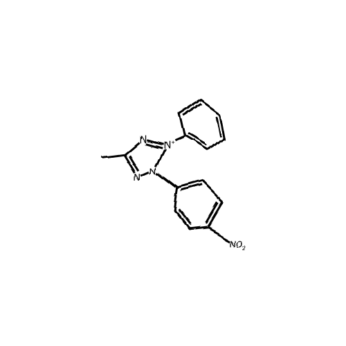 Cc1nn(-c2ccc([N+](=O)[O-])cc2)[n+](-c2ccccc2)n1